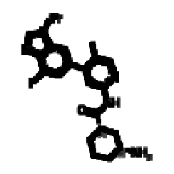 Cc1cnc(NC(=O)[C@H]2CCC[C@@H](N)C2)cc1-c1cc(F)c2ncn(C(C)C)c2c1